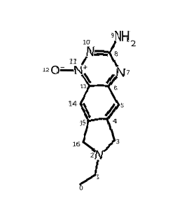 CCN1Cc2cc3nc(N)n[n+]([O-])c3cc2C1